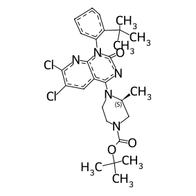 C[C@H]1CN(C(=O)OC(C)(C)C)CCN1c1nc(=O)n(-c2ccccc2C(C)(C)C)c2nc(Cl)c(Cl)cc12